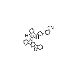 N#Cc1cccc(-c2ccc(C3NC(n4c5ccccc5c5cc6oc7ccccc7c6cc54)Nc4ccccc43)cc2)c1